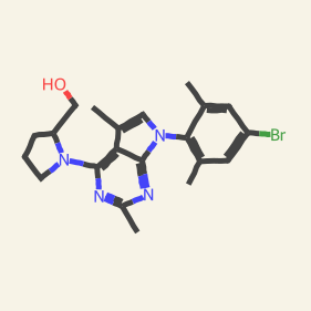 Cc1nc(N2CCCC2CO)c2c(C)cn(-c3c(C)cc(Br)cc3C)c2n1